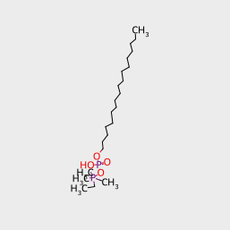 CCCCCCCCCCCCCCCCCCOP(=O)(O)OP(C)(C)(C)CC